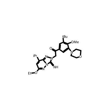 CCOc1cc(C(C)C)c2nn(CC(=O)c3cc(N4CCOCC4)c(OC)c(C(C)(C)C)c3)c(=N)n2n1